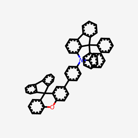 c1ccc(N(c2ccc(-c3ccc4c(c3)C3(c5ccccc5O4)c4ccccc4-c4ccccc43)cc2)c2cccc3c2C(c2ccccc2)(c2ccccc2)c2ccccc2-3)cc1